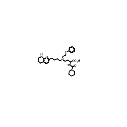 O=C(O)C(CCN(CCCCc1ccc2c(n1)NCCC2)CCOc1ccccc1)NC(=O)N1CCCCC1